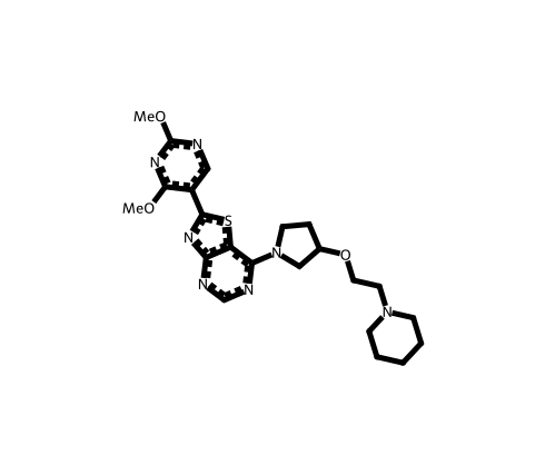 COc1ncc(-c2nc3ncnc(N4CCC(OCCN5CCCCC5)C4)c3s2)c(OC)n1